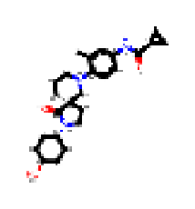 Cc1cc(NC(=O)C2CC2)ccc1N1CCC[C@@]2(CCN([C@H]3CC[C@H](O)CC3)C2=O)C1